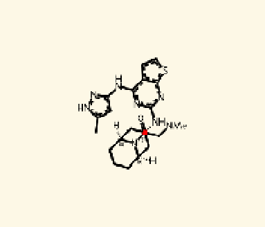 CNCC(=O)N1[C@@H]2CCC[C@H]1C[C@H](Nc1nc(Nc3cc(C)[nH]n3)c3ccsc3n1)C2